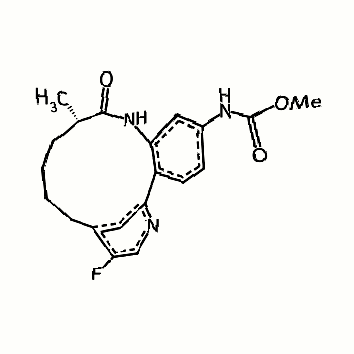 COC(=O)Nc1ccc2c(c1)NC(=O)[C@@H](C)CCCCc1cc-2ncc1F